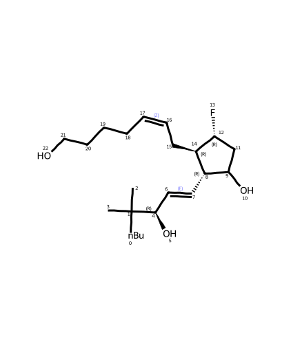 CCCCC(C)(C)[C@H](O)/C=C/[C@H]1C(O)C[C@@H](F)[C@@H]1C/C=C\CCCCO